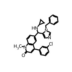 Cn1c(=O)cc(-c2cccc(Cl)c2)c2cc(C(NC3CC3)c3cncn3Cc3ccccc3)ccc21